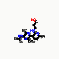 CCc1nc(-c2ccc(C(C)C)nc2NCCCO)c(OC)nc1NC(CC)CC